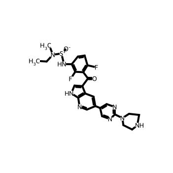 CCN(C)[S+]([O-])Nc1ccc(F)c(C(=O)c2c[nH]c3ncc(-c4cnc(N5CCNCC5)nc4)cc23)c1F